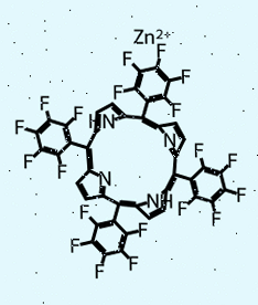 Fc1c(F)c(F)c(-c2c3nc(c(-c4c(F)c(F)c(F)c(F)c4F)c4ccc([nH]4)c(-c4c(F)c(F)c(F)c(F)c4F)c4nc(c(-c5c(F)c(F)c(F)c(F)c5F)c5ccc2[nH]5)C=C4)C=C3)c(F)c1F.[Zn+2]